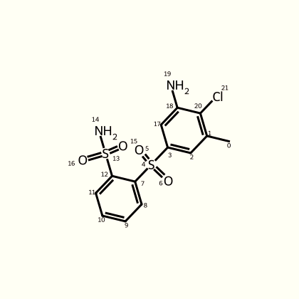 Cc1cc(S(=O)(=O)c2ccccc2S(N)(=O)=O)cc(N)c1Cl